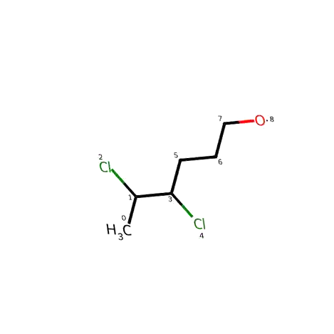 CC(Cl)C(Cl)CCC[O]